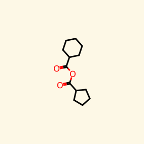 O=C(OC(=O)C1CCCC1)C1CCCCC1